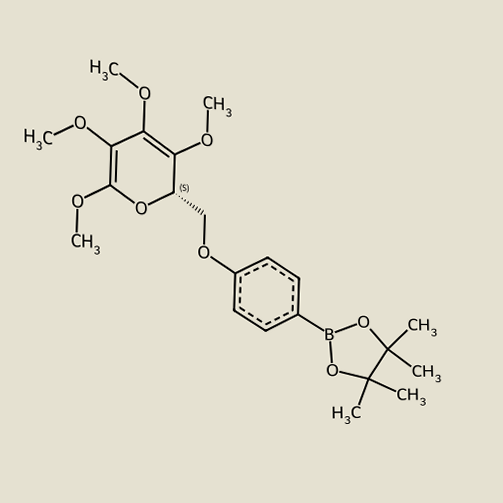 COC1=C(OC)C(OC)=C(OC)[C@H](COc2ccc(B3OC(C)(C)C(C)(C)O3)cc2)O1